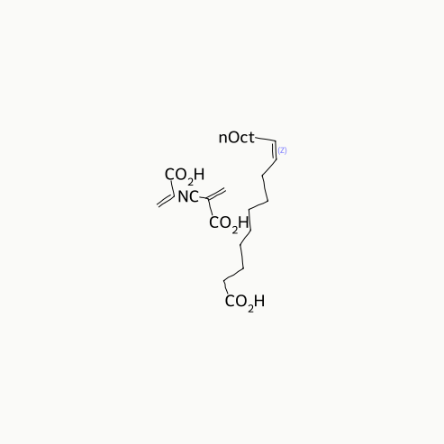 C=C(C#N)C(=O)O.C=CC(=O)O.CCCCCCCC/C=C\CCCCCCCC(=O)O